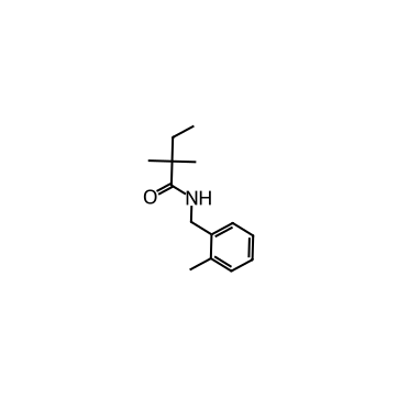 CCC(C)(C)C(=O)NCc1ccccc1C